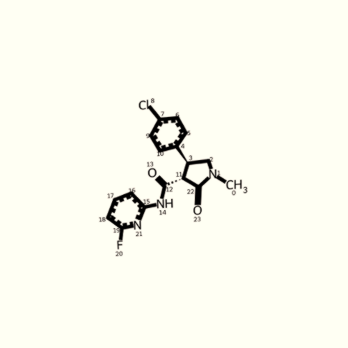 CN1C[C@H](c2ccc(Cl)cc2)[C@@H](C(=O)Nc2cccc(F)n2)C1=O